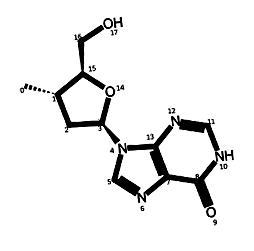 C[C@H]1C[C@H](n2cnc3c(=O)[nH]cnc32)O[C@@H]1CO